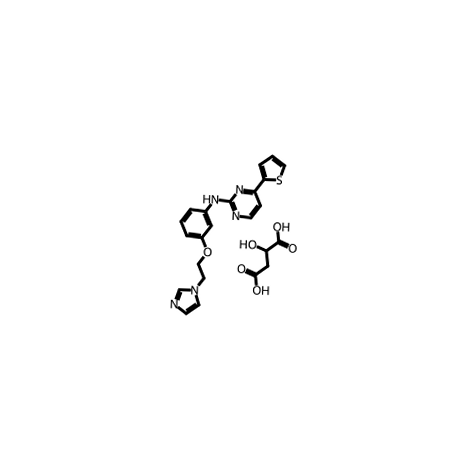 O=C(O)CC(O)C(=O)O.c1cc(Nc2nccc(-c3cccs3)n2)cc(OCCn2ccnc2)c1